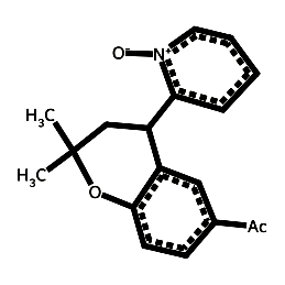 CC(=O)c1ccc2c(c1)C(c1cccc[n+]1[O-])CC(C)(C)O2